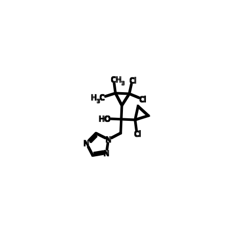 CC1(C)C(C(O)(Cn2cncn2)C2(Cl)CC2)C1(Cl)Cl